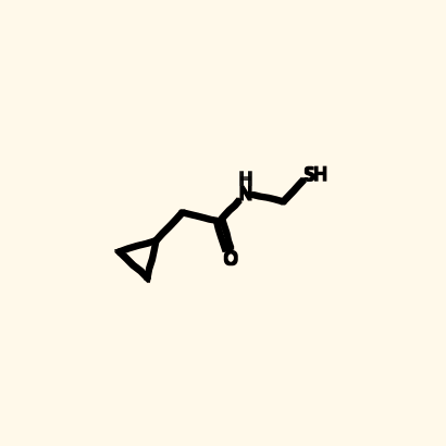 O=C(CC1CC1)NCS